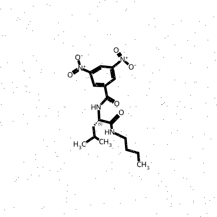 CCCCNC(=O)[C@H](CC(C)C)NC(=O)c1cc([N+](=O)[O-])cc([N+](=O)[O-])c1